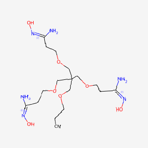 N#CCCOCC(COCC/C(N)=N/O)(COCC/C(N)=N\O)COCC/C(N)=N\O